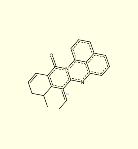 C/C=c1\c2c(c(=O)n3c1nc1cccc4cccc3c41)C=CCC2C